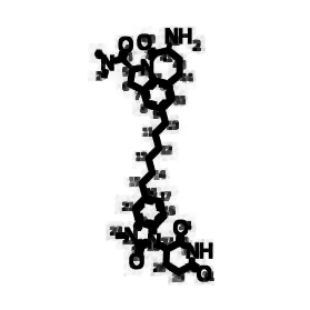 CN(C)C(=O)[C@@H]1Cc2cc(CCCCCCc3ccc4c(c3)n(C)c(=O)n4C3CCC(=O)NC3=O)cc3c2N1C(=O)[C@@H](N)CC3